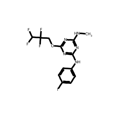 CNc1nc(Nc2ccc(I)cc2)nc(OCC(F)(F)C(F)F)n1